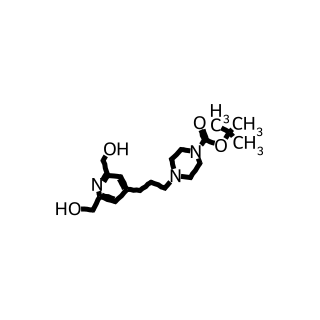 CC(C)(C)OC(=O)N1CCN(CCCc2cc(CO)nc(CO)c2)CC1